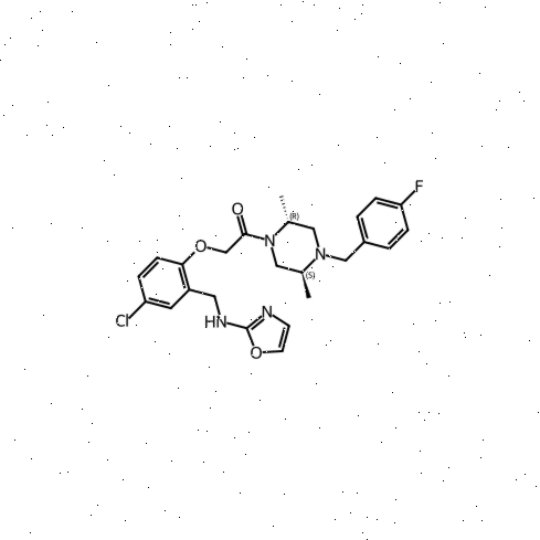 C[C@@H]1CN(Cc2ccc(F)cc2)[C@@H](C)CN1C(=O)COc1ccc(Cl)cc1CNc1ncco1